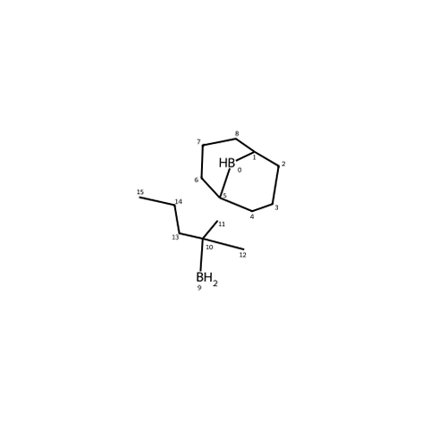 B1C2CCCC1CCC2.BC(C)(C)CCC